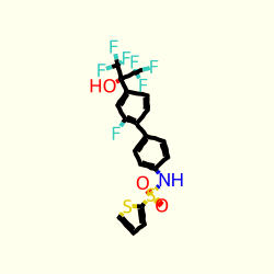 O=S(=O)(Nc1ccc(-c2ccc(C(O)(C(F)(F)F)C(F)(F)F)cc2F)cc1)c1cccs1